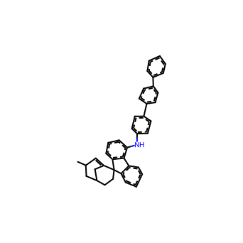 CC1C=C2CC(CCC23c2ccccc2-c2c(Nc4ccc(-c5ccc(-c6ccccc6)cc5)cc4)cccc23)C1